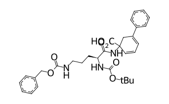 CC(C)(C)OC(=O)N[C@@H](CCCNC(=O)OCc1ccccc1)C(=O)NC1(C(=O)O)C=CC=C(c2ccccc2)C1